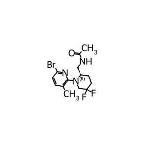 CC(=O)NC[C@H]1CCC(F)(F)CN1c1nc(Br)ccc1C